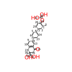 Cc1cc(-c2ccc(-c3ccc4c(c3)C(=O)CC(CO)(CO)C4)cc2)ccc1OC(O)O